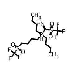 CCCC[PH](CCCC)(CCCCS(=O)(=O)C(F)(F)F)C(=N)S(=O)(=O)C(F)(F)F